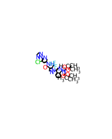 CC(C)(C)OC(=O)N(C(=O)OC(C)(C)C)c1ncc(-n2ncc(C(=O)Nc3cnc(-n4nccn4)c(Cl)c3)c2C(F)(F)F)c2ccccc12